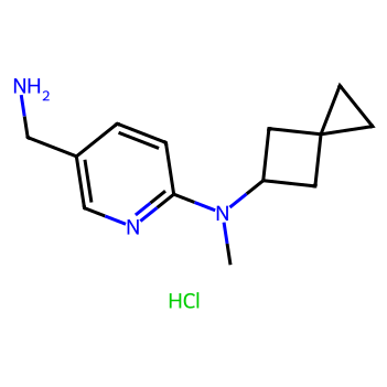 CN(c1ccc(CN)cn1)C1CC2(CC2)C1.Cl